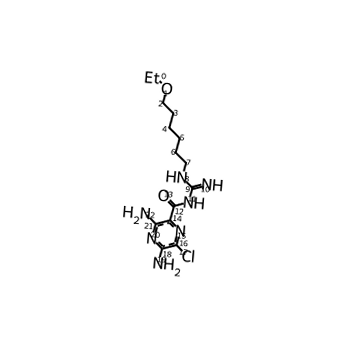 CCOCCCCCCNC(=N)NC(=O)c1nc(Cl)c(N)nc1N